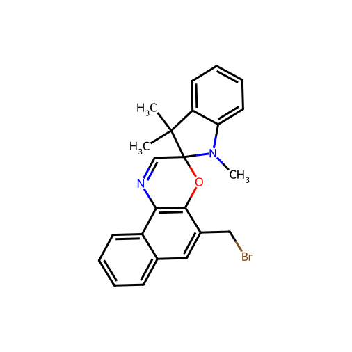 CN1c2ccccc2C(C)(C)C12C=Nc1c(c(CBr)cc3ccccc13)O2